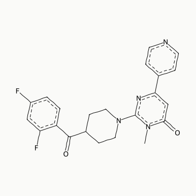 Cn1c(N2CCC(C(=O)c3ccc(F)cc3F)CC2)nc(-c2ccncc2)cc1=O